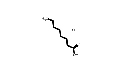 CCCCCCCC(=O)O.[In]